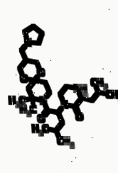 CC(C)CC(C(=O)N1CCC2(CC1(C)C)OCC(CN1CCCC1)CO2)N1CCN[C@@H](CC(C)C)C1=O